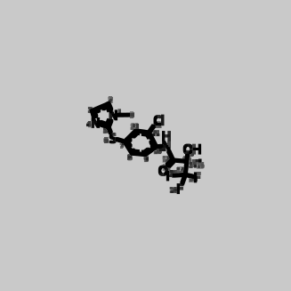 Cn1ccnc1Sc1ccc(NC(=O)[C@@](C)(O)C(F)(F)F)c(Cl)c1